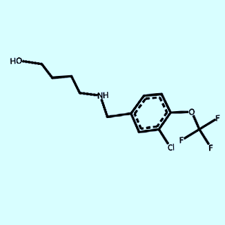 OCCCCNCc1ccc(OC(F)(F)F)c(Cl)c1